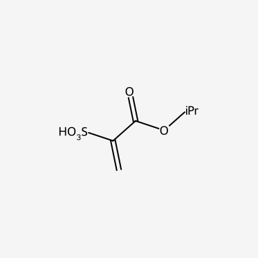 C=C(C(=O)OC(C)C)S(=O)(=O)O